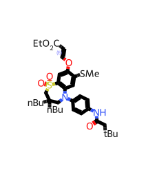 CCCCC1(CCCC)CN(c2ccc(NC(=O)CC(C)(C)C)cc2)c2cc(SC)c(O/C=C/C(=O)OCC)cc2S(=O)(=O)C1